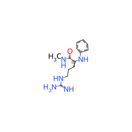 CNC(=O)[C@H](CCCNC(=N)N)Nc1ccccc1